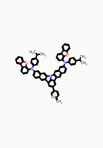 C=C/C=C\C(=C/C)c1cc2c3cc4ccc(N(c5ccc(C(C)C)cc5)c5cccc6c5oc5ccccc56)cc4cc3n3c4cc5cc(N(c6ccc(C(C)C)cc6)c6cccc7c6oc6ccccc67)ccc5cc4c(c1)c23